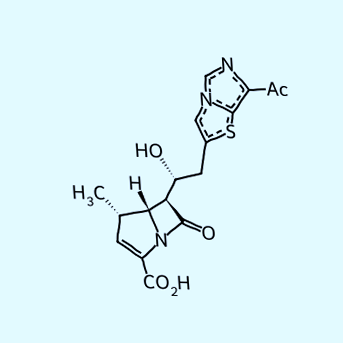 CC(=O)c1ncn2cc(C[C@@H](O)[C@H]3C(=O)N4C(C(=O)O)=C[C@H](C)[C@H]34)sc12